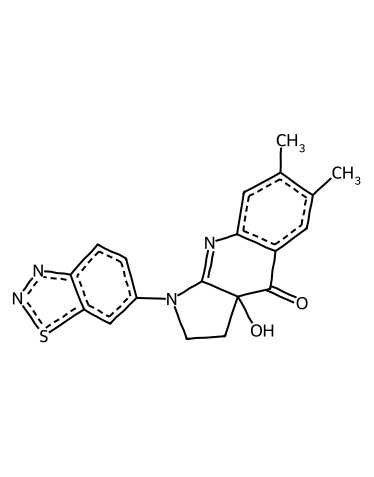 Cc1cc2c(cc1C)C(=O)C1(O)CCN(c3ccc4nnsc4c3)C1=N2